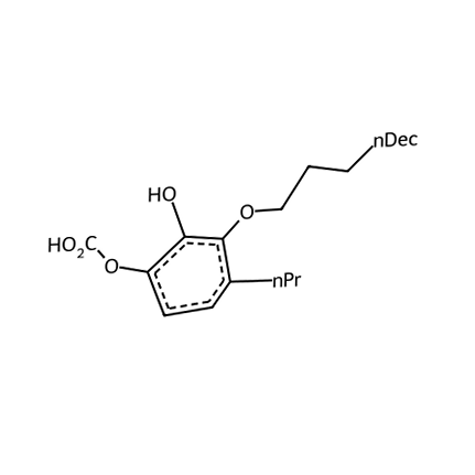 CCCCCCCCCCCCCOc1c(CCC)ccc(OC(=O)O)c1O